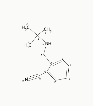 CC(C)(C)NCc1ccccc1C#N